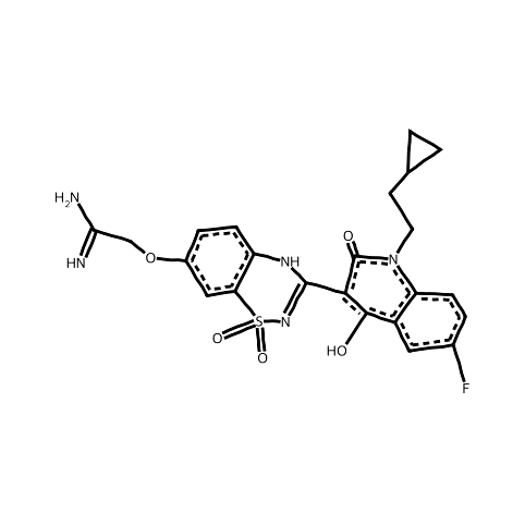 N=C(N)COc1ccc2c(c1)S(=O)(=O)N=C(c1c(O)c3cc(F)ccc3n(CCC3CC3)c1=O)N2